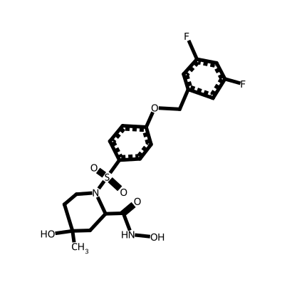 CC1(O)CCN(S(=O)(=O)c2ccc(OCc3cc(F)cc(F)c3)cc2)C(C(=O)NO)C1